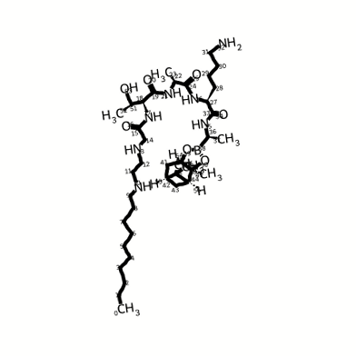 CCCCCCCCCCNCCNCC(=O)N[C@H](C(=O)N[C@@H](C)C(=O)N[C@@H](CCCCN)C(=O)N[C@@H](C)B1O[C@@H]2C[C@@H]3C[C@@H](C3(C)C)[C@]2(C)O1)[C@@H](C)O